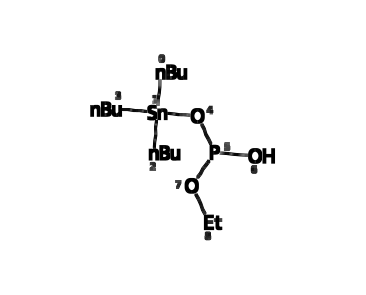 CCC[CH2][Sn]([CH2]CCC)([CH2]CCC)[O]P(O)OCC